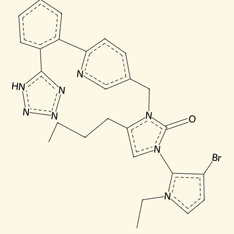 CCCCc1cn(-c2c(Br)ccn2CC)c(=O)n1Cc1ccc(-c2ccccc2-c2nnn[nH]2)nc1